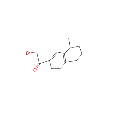 CC1CCCc2ccc(C(=O)CBr)cc21